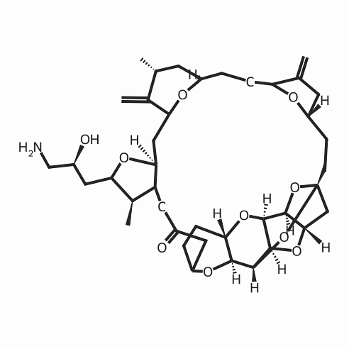 C=C1C[C@@H]2CC[C@@]34C[C@@H]5O[C@@H]6[C@@H](O[C@H]7CCC(CC(=O)CC8[C@@H](C)C(C[C@H](O)CN)O[C@H]8CC8O[C@@H](CCC1O2)C[C@@H](C)C8=C)O[C@@H]7[C@@H]6O3)[C@H]5O4